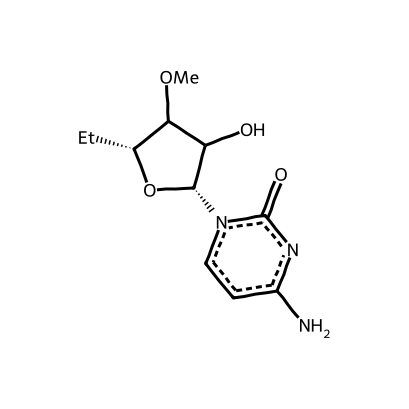 CC[C@H]1O[C@@H](n2ccc(N)nc2=O)C(O)C1OC